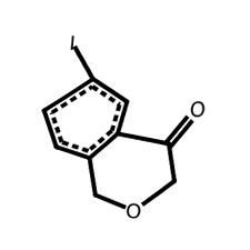 O=C1COCc2ccc(I)cc21